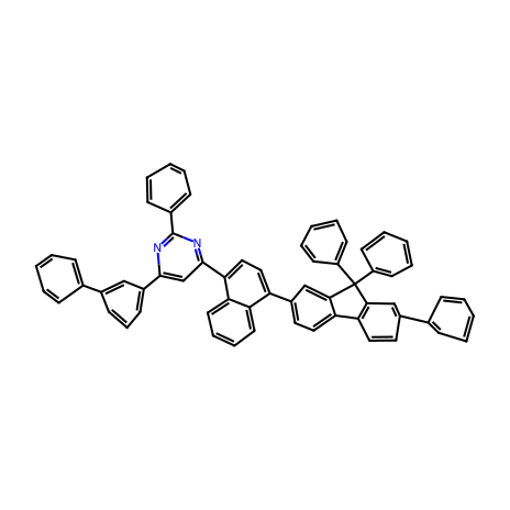 c1ccc(-c2cccc(-c3cc(-c4ccc(-c5ccc6c(c5)C(c5ccccc5)(c5ccccc5)c5cc(-c7ccccc7)ccc5-6)c5ccccc45)nc(-c4ccccc4)n3)c2)cc1